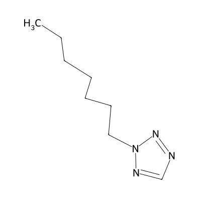 CCCCCCCn1ncnn1